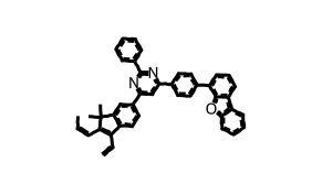 C=CC1=C(/C=C\C)C(C)(C)c2cc(-c3cc(-c4ccc(-c5cccc6c5oc5ccccc56)cc4)nc(-c4ccccc4)n3)ccc21